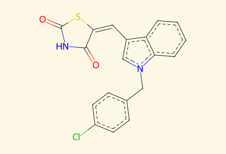 O=C1NC(=O)C(=Cc2cn(Cc3ccc(Cl)cc3)c3ccccc23)S1